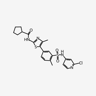 Cc1ccc(-c2sc(NC(=O)C3CCCC3)nc2C)cc1S(=O)(=O)Nc1ccnc(Cl)c1